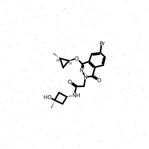 C[C@H]1C[C@@H]1Oc1nn(CC(=O)N[C@H]2C[C@](C)(O)C2)c(=O)c2ccc(Br)cc12